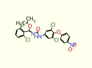 CC(C)O/C(=N\C(=O)Nc1cc(Cl)c(Oc2ccc([N+](=O)[O-])cc2)c(Cl)c1)c1c(Cl)cccc1Cl